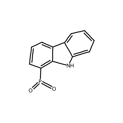 O=P(=O)c1cccc2c1[nH]c1ccccc12